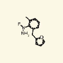 Cc1cccc(Cc2ccco2)c1N(N)F